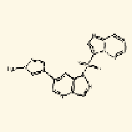 Cn1cc(-c2cnc3cnn(S(=O)(=O)c4cnc5cccnn45)c3c2)cn1